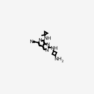 CC1(Nc2nc(C#N)cc3cnc(NC4CC(N)C4)nc23)CC1